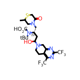 CC1CN(C[C@H](CC(O)N2CCc3c(nc(C(F)(F)F)nc3C(F)(F)F)C2)N(C(=O)O)C(C)(C)C)C(=O)CS1